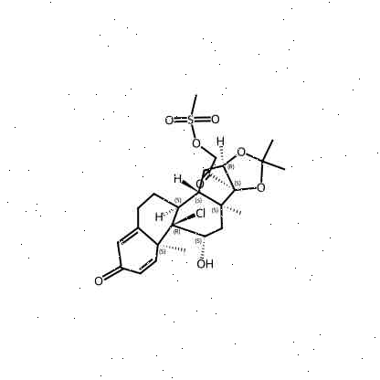 CC1(C)O[C@@H]2C[C@H]3[C@@H]4CCC5=CC(=O)C=C[C@]5(C)[C@@]4(Cl)[C@@H](O)C[C@]3(C)[C@]2(C(=O)COS(C)(=O)=O)O1